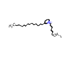 CCCCCCCCCCCCCCc1ccc[n+](CCCCCCC)c1